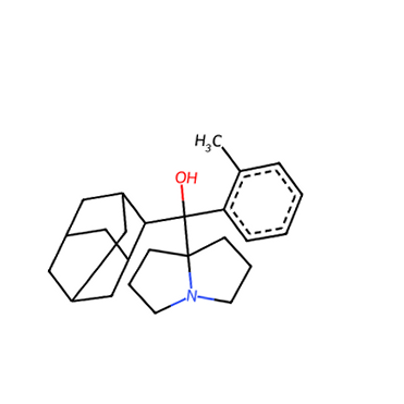 Cc1ccccc1C(O)(C1C2CC3CC(C2)CC1C3)C12CCCN1CCC2